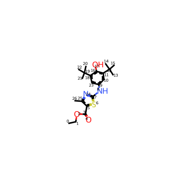 CCOC(=O)c1sc(Nc2cc(C(C)(C)C)c(O)c(C(C)(C)C)c2)nc1C